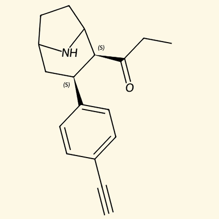 C#Cc1ccc([C@H]2CC3CCC(N3)[C@H]2C(=O)CC)cc1